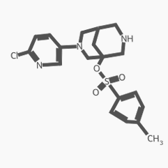 Cc1ccc(S(=O)(=O)OC23CNCC(CN(c4ccc(Cl)nc4)C2)C3)cc1